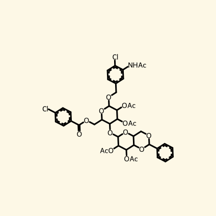 CC(=O)Nc1cc(COC2OC(COC(=O)c3ccc(Cl)cc3)C(OC3OC4COC(c5ccccc5)OC4C(OC(C)=O)C3OC(C)=O)C(OC(C)=O)C2OC(C)=O)ccc1Cl